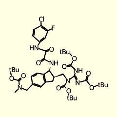 CN(Cc1ccc2c(c1)C[C@H](CN(C(=O)OC(C)(C)C)/C(=N/C(=O)OC(C)(C)C)NC(=O)OC(C)(C)C)[C@H]2NC(=O)C(=O)Nc1ccc(Cl)c(F)c1)C(=O)OC(C)(C)C